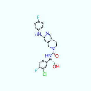 O=C(N[C@H](CO)c1ccc(F)c(Cl)c1)N1CCc2cnc(Nc3ccc(F)cc3)cc2C1